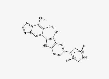 Cc1c(-c2[nH]c3ccc(N4C[C@H]5C[C@@H]4CN5)nc3c2C(C)C)cn2ncnc2c1C